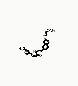 COCCOc1cnc2ccc(CCc3nn(-c4cnn(C)c4)ccc3=O)cc2c1